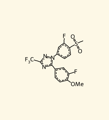 COc1ccc(-c2nc(C(F)(F)F)nn2-c2ccc(S(C)(=O)=O)c(F)c2)cc1F